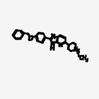 CCSN1CC=C(c2ccc3nc(-c4ccc(OCc5ccccc5)cc4)[nH]c3n2)CC1